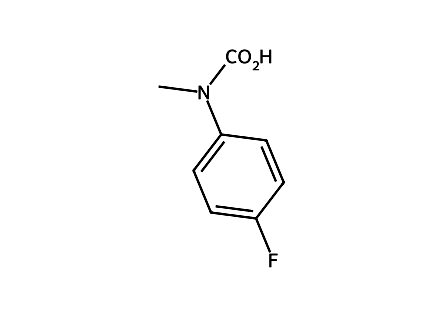 CN(C(=O)O)c1ccc(F)cc1